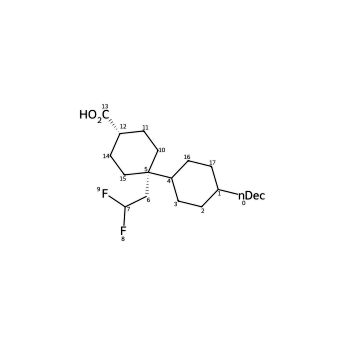 CCCCCCCCCCC1CCC([C@]2(CC(F)F)CC[C@@H](C(=O)O)CC2)CC1